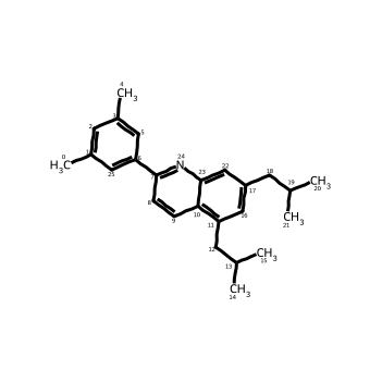 Cc1cc(C)cc(-c2ccc3c(CC(C)C)cc(CC(C)C)cc3n2)c1